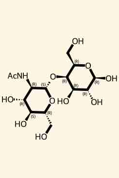 CC(=O)N[C@H]1[C@H](O[C@@H]2[C@H](O)[C@@H](O)[C@H](O)O[C@@H]2CO)O[C@H](CO)[C@@H](O)[C@@H]1O